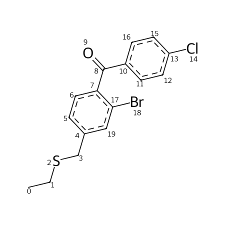 CCSCc1ccc(C(=O)c2ccc(Cl)cc2)c(Br)c1